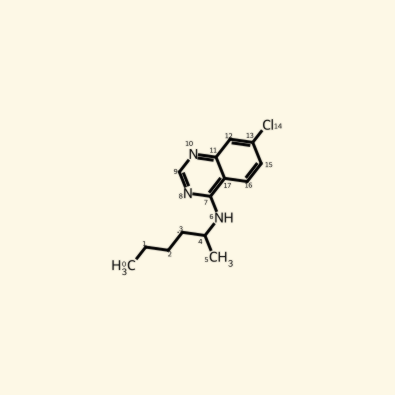 CCC[CH]C(C)Nc1ncnc2cc(Cl)ccc12